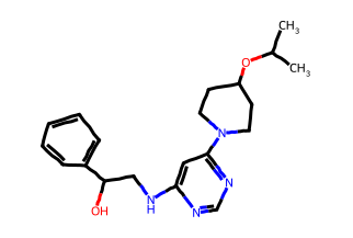 CC(C)OC1CCN(c2cc(NCC(O)c3ccccc3)ncn2)CC1